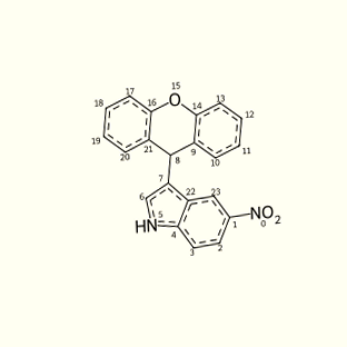 O=[N+]([O-])c1ccc2[nH]cc(C3c4ccccc4Oc4ccccc43)c2c1